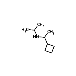 CC(C)NC(C)C1CCC1